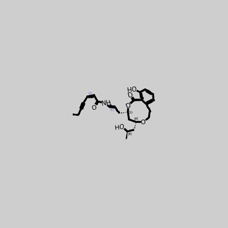 CCC#C/C=C\C(=O)N/C=C/C[C@H]1C[C@@H](C[C@@H](C)O)OCCc2cccc(O)c2C(=O)O1